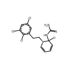 NC(=S)NC1(Cl)C=CC=CN1CCc1cc(Cl)cc(Cl)c1Cl